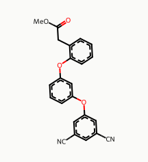 COC(=O)Cc1ccccc1Oc1cccc(Oc2cc(C#N)cc(C#N)c2)c1